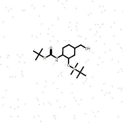 CC(C)(C)OC(=O)NC1CCC(CO)CC1O[Si](C)(C)C(C)(C)C